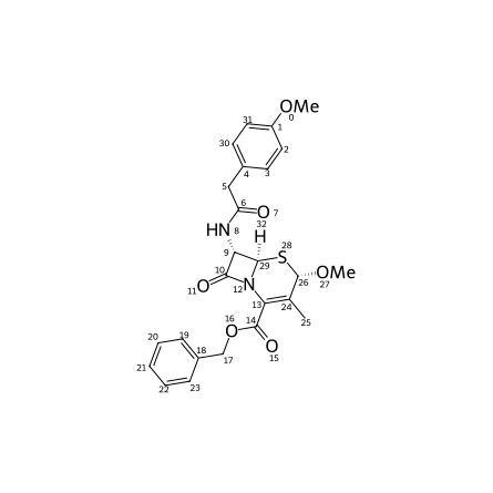 COc1ccc(CC(=O)N[C@H]2C(=O)N3C(C(=O)OCc4ccccc4)=C(C)[C@@H](OC)S[C@H]23)cc1